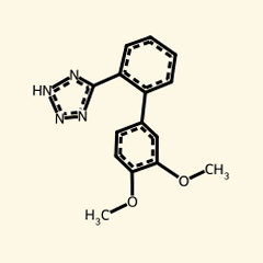 COc1ccc(-c2ccccc2-c2nn[nH]n2)cc1OC